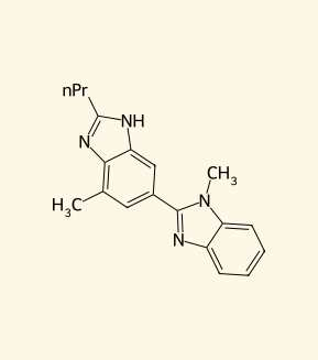 CCCc1nc2c(C)cc(-c3nc4ccccc4n3C)cc2[nH]1